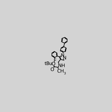 CC(NCc1cnn(-c2ccc(-c3ccccc3)cc2)c1-c1ccccc1F)C(=O)OC(C)(C)C